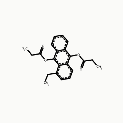 CCC(=O)Oc1c2ccccc2c(OC(=O)CC)c2c(CC)cccc12